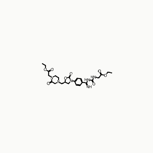 CCOC(=O)CNC(=O)NC(=N)c1ccc(N2CC(CN3CCN(CC(=O)OCC)C(=O)C3)OC2=O)cc1